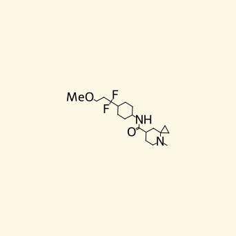 COCCC(F)(F)C1CCC(NC(=O)C2CCN(C)C3(CC3)C2)CC1